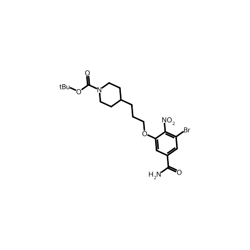 CC(C)(C)OC(=O)N1CCC(CCCOc2cc(C(N)=O)cc(Br)c2[N+](=O)[O-])CC1